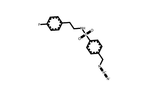 [N-]=[N+]=NCc1ccc(S(=O)(=O)NCCc2ccc(F)cc2)cc1